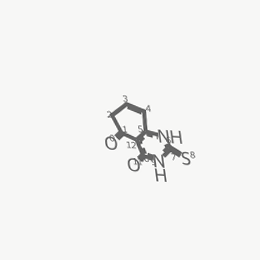 O=C1CC=Cc2[nH]c(=S)[nH]c(=O)c21